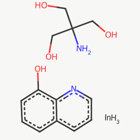 NC(CO)(CO)CO.Oc1cccc2cccnc12.[InH3]